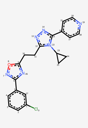 Clc1cccc(-c2noc(CCc3nnc(-c4ccncc4)n3C3CC3)n2)c1